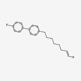 F/C=C/CCCCCCc1ccc(-c2ccc(F)cc2)cc1